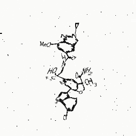 COc1cc(C(=O)NC[C@](O)(c2cc3c(c(-c4csc5c(Cl)cccc45)n2)OC[C@]3(C)C(N)=O)C(F)(F)F)cc2cn(C3CC3)nc12